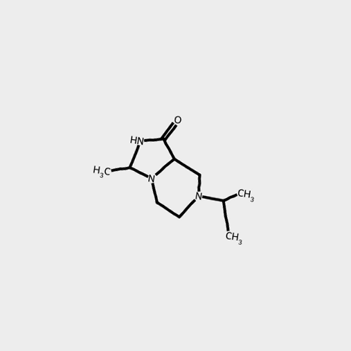 CC(C)N1CCN2C(C)NC(=O)C2C1